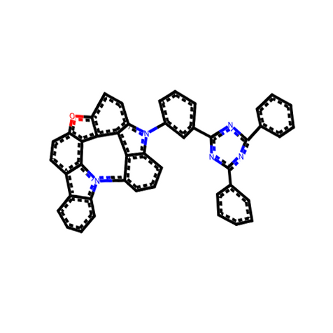 c1ccc(-c2nc(-c3ccccc3)nc(-c3cccc(-n4c5ccc6oc7ccc8c9ccccc9n9c%10cccc4c%10c5c6c7c89)c3)n2)cc1